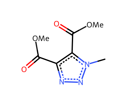 COC(=O)c1nnn(C)c1C(=O)OC